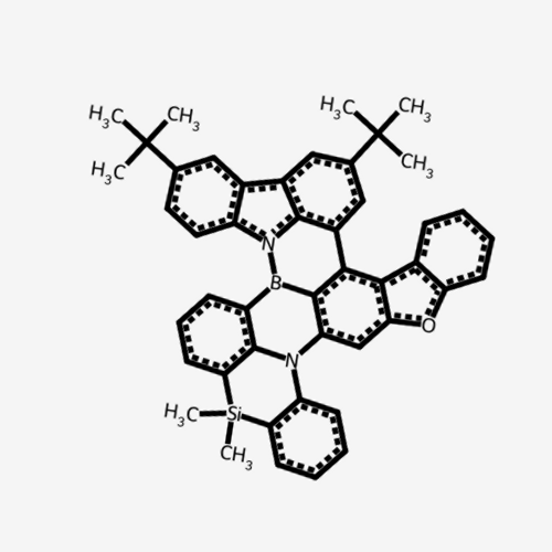 CC(C)(C)c1ccc2c(c1)c1cc(C(C)(C)C)cc3c1n2B1c2cccc4c2N(c2ccccc2[Si]4(C)C)c2cc4oc5ccccc5c4c-3c21